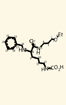 CCOCCCNC(=O)C(CCCCNC(=O)O)NCc1ccccc1